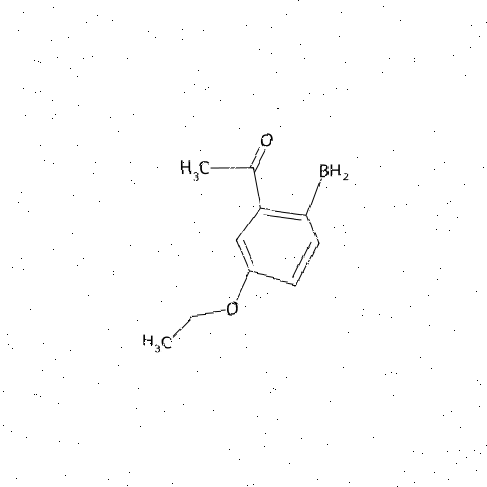 Bc1ccc(OCC)cc1C(C)=O